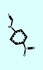 O=[N+]([O-])c1ccc(NC=S)cc1